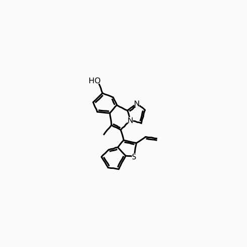 C=Cc1sc2ccccc2c1-c1c(C)c2ccc(O)cc2c2nccn12